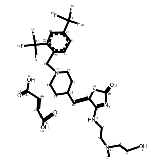 CN(CCO)CCNC1=NC(=O)S/C1=C\C1CCN(Cc2ccc(C(F)(F)F)cc2C(F)(F)F)CC1.O=C(O)/C=C/C(=O)O